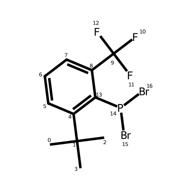 CC(C)(C)c1cccc(C(F)(F)F)c1P(Br)Br